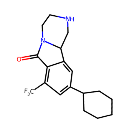 O=C1c2c(cc(C3CCCCC3)cc2C(F)(F)F)C2CNCCN12